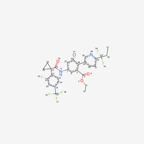 CCOC(=O)c1cc(NC(=O)C2(c3ccc(C(F)(F)F)cc3F)CC2)cc(Cl)c1-c1ccc(C(F)(F)CC)nc1